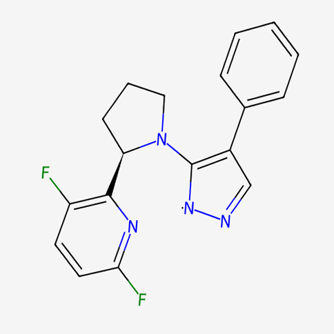 Fc1ccc(F)c([C@H]2CCCN2C2=C(c3ccccc3)C=N[N]2)n1